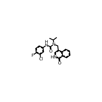 CC(C)N(Cc1c[nH]c(=O)c2ccccc12)C(=O)Nc1ccc(F)c(Cl)c1